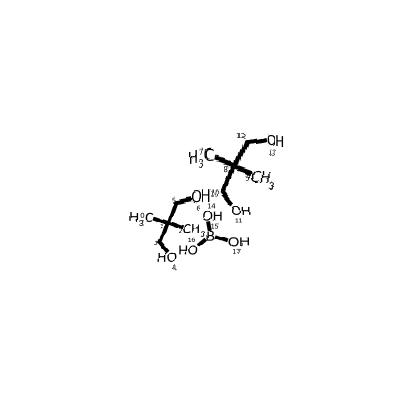 CC(C)(CO)CO.CC(C)(CO)CO.OB(O)O